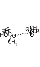 C=C1C(=O)N(CCCCCCCCOc2ccc(C(O)(C(F)(F)F)C(F)(F)F)cc2CCC)C(=O)N1C